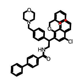 O=C(NCC(c1ccc(CN2CCOCC2)cc1)c1cc(Cl)c2cccnc2c1OCc1ccccc1)c1ccc(-c2ccccc2)cc1